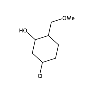 COCC1CCC(Cl)C[C]1O